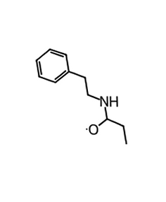 CCC([O])NCCc1ccccc1